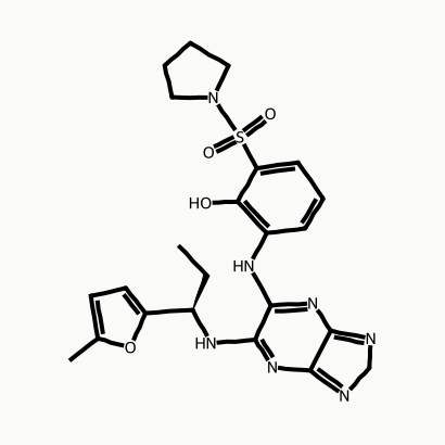 CC[C@@H](Nc1nc2c(nc1Nc1cccc(S(=O)(=O)N3CCCC3)c1O)=NCN=2)c1ccc(C)o1